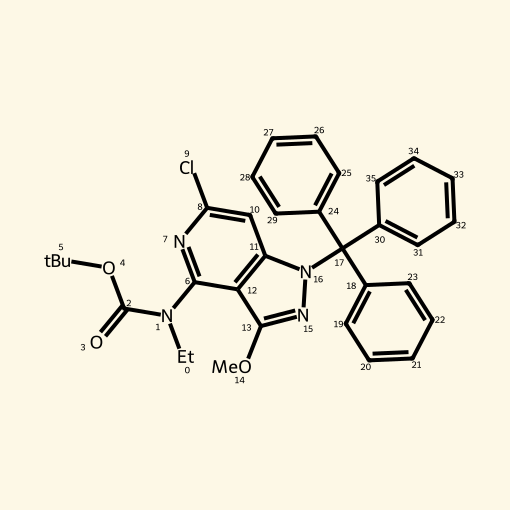 CCN(C(=O)OC(C)(C)C)c1nc(Cl)cc2c1c(OC)nn2C(c1ccccc1)(c1ccccc1)c1ccccc1